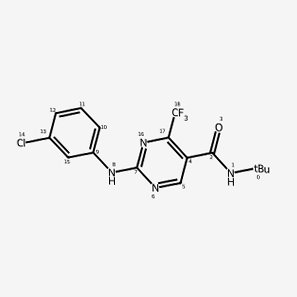 CC(C)(C)NC(=O)c1cnc(Nc2cccc(Cl)c2)nc1C(F)(F)F